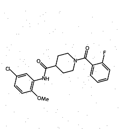 COc1ccc(Cl)cc1NC(=O)C1CCN(C(=O)c2ccccc2F)CC1